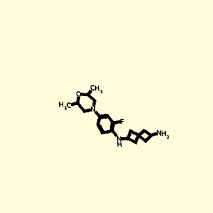 CC1CN(c2ccc(NC3CC4(CC(N)C4)C3)c(F)c2)CC(C)O1